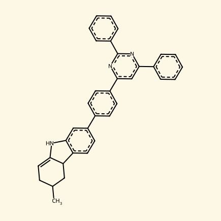 CC1CC=C2Nc3cc(-c4ccc(-c5cc(-c6ccccc6)nc(-c6ccccc6)n5)cc4)ccc3C2C1